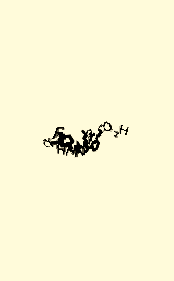 CC1CN(c2nc(Nc3ccc(F)c(Cl)c3)ncc2-c2cccc(C=CC(=O)O)c2)CC(C)O1